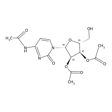 CC(=O)Nc1ccn([C@@H]2O[C@H](CO)[C@@H](OC(C)=O)[C@H]2OC(C)=O)c(=O)n1